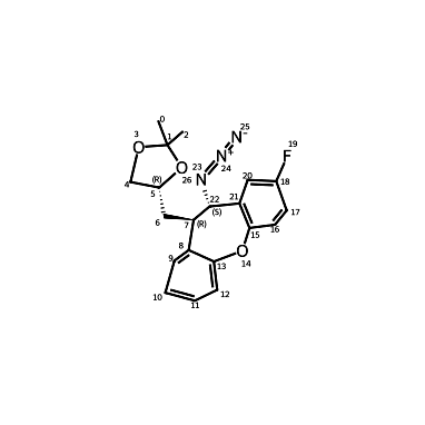 CC1(C)OC[C@@H](C[C@@H]2c3ccccc3Oc3ccc(F)cc3[C@H]2N=[N+]=[N-])O1